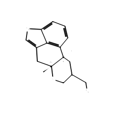 [C-]#[N+]CC1CN[C@@H]2Cc3c[nH]c4cccc(c34)[C@H]2C1